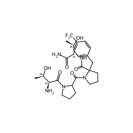 C[C@@H](O)[C@H](N)C(=O)N1CCCC1C(=O)N1CCCC1(Cc1ccc(C(F)(F)F)cc1)C(=O)N[C@H](C(N)=O)[C@@H](C)O